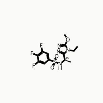 CCn1c(OC)nnc1[C@@H](C)NS(=O)(=O)c1cc(F)c(F)c(F)c1